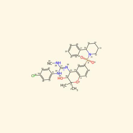 CC1(C)Oc2ccc(S(=O)(=O)N3CCCCC3c3ccccc3)cc2C(/N=C(/NC#N)Nc2ccc(Cl)cc2)C1O